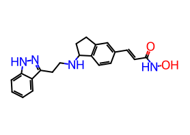 O=C(C=Cc1ccc2c(c1)CCC2NCCc1n[nH]c2ccccc12)NO